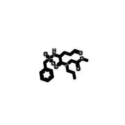 CCCN(CC(=O)OC)C(=O)C(CCC=O)NS(=O)(=O)Cc1ccccc1